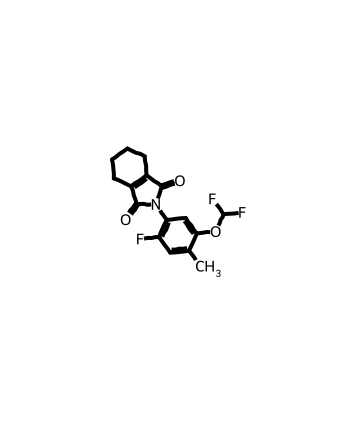 Cc1cc(F)c(N2C(=O)C3=C(CCCC3)C2=O)cc1OC(F)F